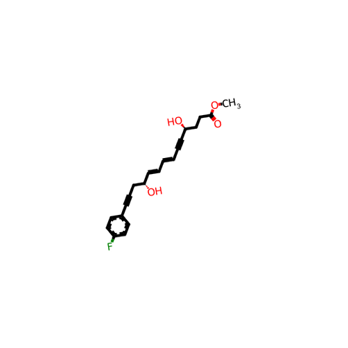 COC(=O)CC[C@H](O)C#C/C=C/C=C/[C@H](O)CC#Cc1ccc(F)cc1